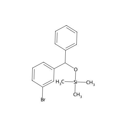 C[Si](C)(C)OC(c1ccccc1)c1cccc(Br)c1